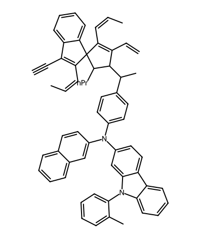 C#CC1=C(/C=C\C)C2(C(/C=C\C)=C(C=C)C(C(C)c3ccc(N(c4ccc5ccccc5c4)c4ccc5c6ccccc6n(-c6ccccc6C)c5c4)cc3)C2CCC)c2ccccc21